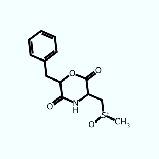 C[S+]([O-])CC1NC(=O)C(Cc2ccccc2)OC1=O